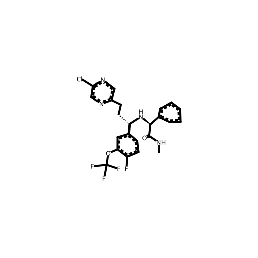 CNC(=O)[C@@H](N[C@@H](CCc1cnc(Cl)cn1)c1ccc(F)c(OC(F)(F)F)c1)c1ccccc1